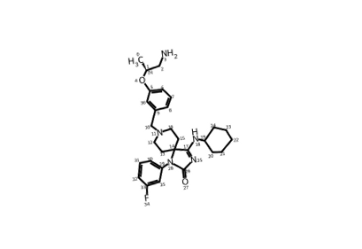 C[C@@H](CN)Oc1cccc(CN2CCC3(CC2)C(NC2CCCCC2)=NC(=O)N3c2cccc(F)c2)c1